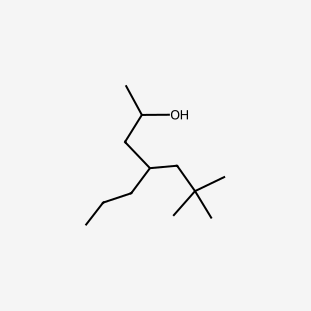 CCCC(CC(C)O)CC(C)(C)C